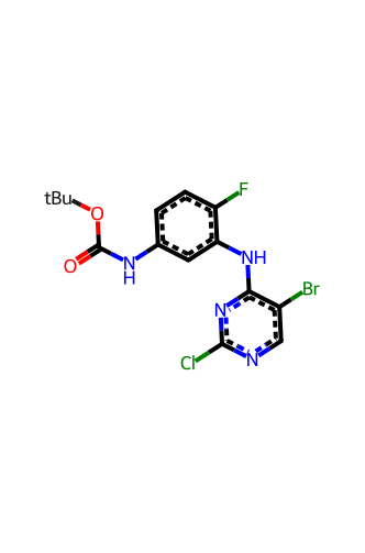 CC(C)(C)OC(=O)Nc1ccc(F)c(Nc2nc(Cl)ncc2Br)c1